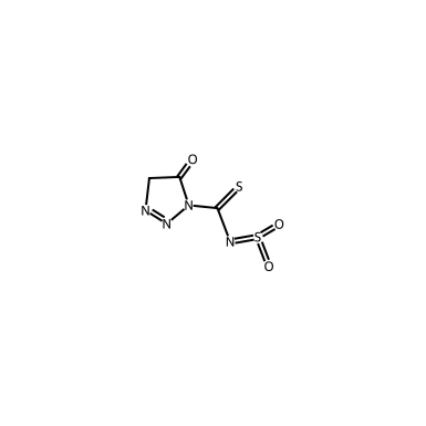 O=C1CN=NN1C(=S)N=S(=O)=O